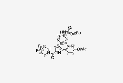 COc1ccc(-n2nc(C(=O)N3CCC(F)(F)CC3)cc2-c2cnc(NC(=O)OC(C)(C)C)cn2)nn1